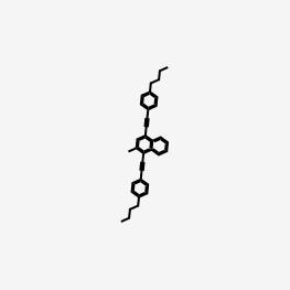 CCCCc1ccc(C#Cc2cc(C)c(C#Cc3ccc(CCCC)cc3)c3ccccc23)cc1